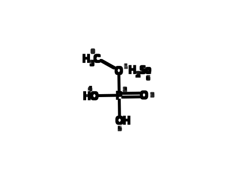 COP(=O)(O)O.[SeH2]